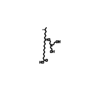 CC(C)CCCCCCCCCCCCCCC(=O)O.OCCN(CCO)CCO